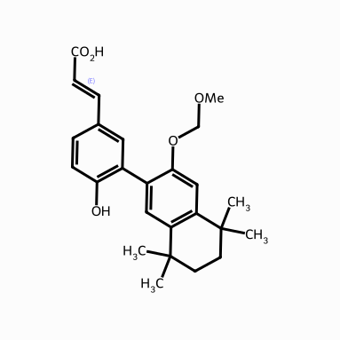 COCOc1cc2c(cc1-c1cc(/C=C/C(=O)O)ccc1O)C(C)(C)CCC2(C)C